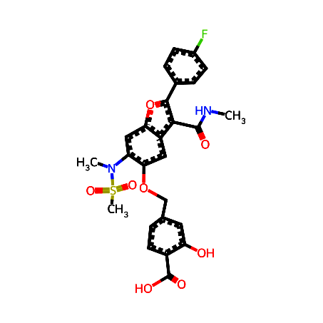 CNC(=O)c1c(-c2ccc(F)cc2)oc2cc(N(C)S(C)(=O)=O)c(OCc3ccc(C(=O)O)c(O)c3)cc12